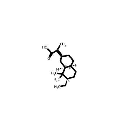 CC[C@@H]1CC[C@@H]2CCC(=C(C)C(=O)O)C[C@@H]2C1(C)C